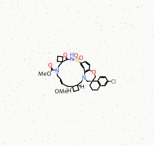 COC(=O)N1C/C=C/[C@@H](OC)[C@@H]2CC[C@H]2CN2C[C@@]3(CCCc4cc(Cl)ccc43)COc3ccc(cc32)S(=O)(=O)NC(=O)C2(CCC2)C1